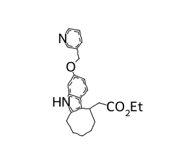 CCOC(=O)CC1CCCCCc2[nH]c3cc(OCc4cccnc4)ccc3c21